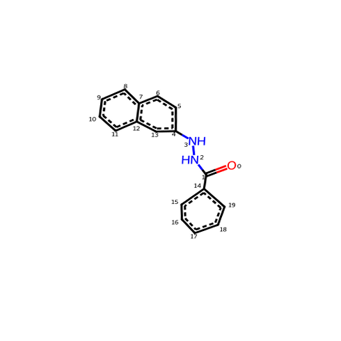 O=C(NNc1ccc2ccccc2c1)c1ccccc1